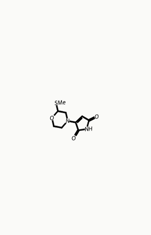 CSC1CN(C2=CC(=O)NC2=O)CCO1